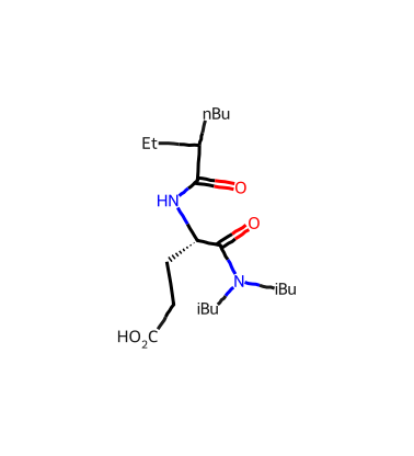 CCCCC(CC)C(=O)N[C@@H](CCC(=O)O)C(=O)N(C(C)CC)C(C)CC